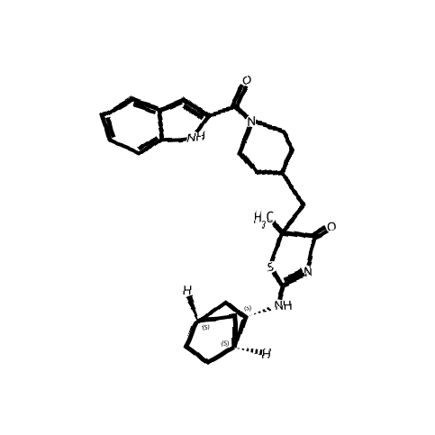 CC1(CC2CCN(C(=O)c3cc4ccccc4[nH]3)CC2)SC(N[C@H]2C[C@H]3CC[C@H]2C3)=NC1=O